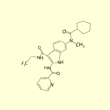 CN(C(=O)C1CCCCC1)c1ccc2c(C(=O)NCC(F)(F)F)c(NC(=O)c3ccccn3)[nH]c2c1